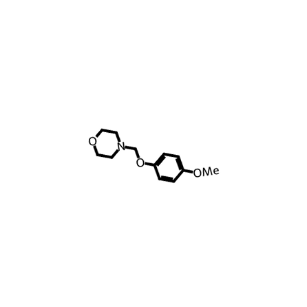 COc1ccc(OCN2CCOCC2)cc1